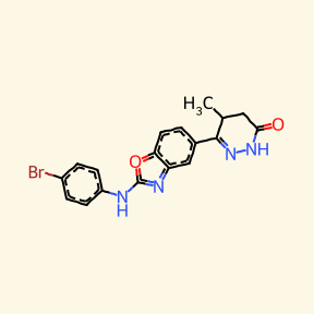 CC1CC(=O)NN=C1c1ccc2oc(Nc3ccc(Br)cc3)nc2c1